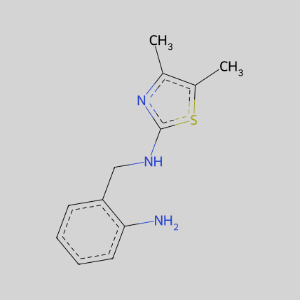 Cc1nc(NCc2ccccc2N)sc1C